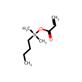 C=CC(=O)O[Si](C)(C)CCCC